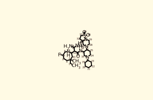 CCC1(C)CCC(F)CNC(C(C(=O)NC2CN(C3CCCCC3)CCC2N2CCN3[C@@H](CCS3(=O)=O)C2)C(N)N)C1